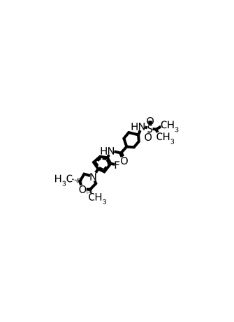 CC(C)S(=O)(=O)NC1CCC(C(=O)Nc2ccc(N3C[C@@H](C)O[C@@H](C)C3)cc2F)CC1